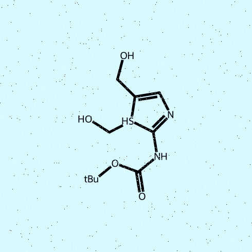 CC(C)(C)OC(=O)NC1=NC=C(CO)[SH]1CO